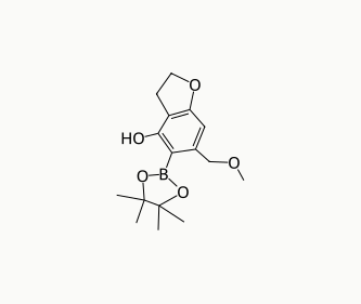 COCc1cc2c(c(O)c1B1OC(C)(C)C(C)(C)O1)CCO2